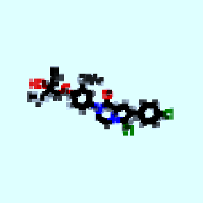 COc1cc(N2CCN3C(=CC(c4ccc(Cl)cc4)C3Cl)C2=O)ccc1OCC(C)(C)O